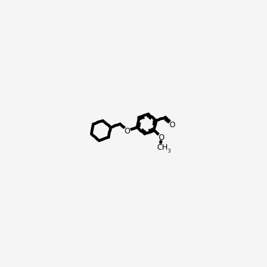 COc1cc(OCC2CCCCC2)ccc1C=O